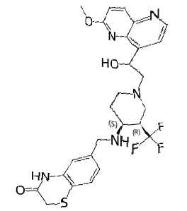 COc1ccc2nccc(C(O)CN3CC[C@H](NCc4ccc5c(c4)NC(=O)CS5)[C@H](C(F)(F)F)C3)c2n1